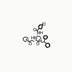 O=C(NC[C@@H]1CCN(CC(c2ccccc2)c2ccccc2)C(=O)[C@H](CCC(=O)N2CCCCC2)N1)c1ccc(Cl)cc1